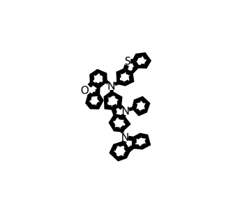 c1ccc(-n2c3cc(N(c4ccc5c(c4)sc4ccccc45)c4cccc5oc6ccccc6c45)ccc3c3ccc(-n4c5ccccc5c5ccccc54)cc32)cc1